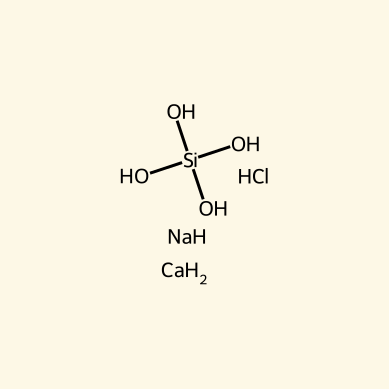 Cl.O[Si](O)(O)O.[CaH2].[NaH]